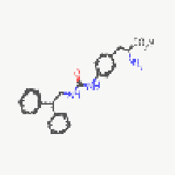 NC(Cc1ccc(NC(=O)NCC(c2ccccc2)c2ccccc2)cc1)C(=O)O